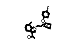 CC(=O)c1cn(CCCN2C3CCC2C(Oc2ccc(F)cc2)C3)c2c(C)cccc12